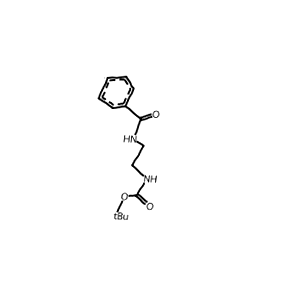 CC(C)(C)OC(=O)NCCNC(=O)c1cc[c]cc1